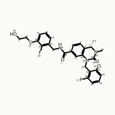 C[C@H]1c2ccc(C(=O)NCc3cccc(OCCO)c3F)cc2N(Cc2c(F)cccc2Cl)C(=O)N1C